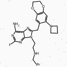 CC(C)CNCCn1c(Cc2cc3c(cc2N2CCC2)OCCO3)nc2c(N)nc(F)nc21